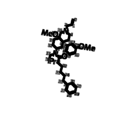 C=CCN1CC[C@@]2(c3cccc(OC)c3)C[C@H](N(CC(C)C)C(=O)CCCCCc3ccccc3)CC[C@]2(OC)C1